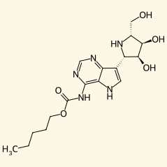 CCCCCOC(=O)Nc1ncnc2c([C@@H]3N[C@H](CO)[C@@H](O)[C@H]3O)c[nH]c12